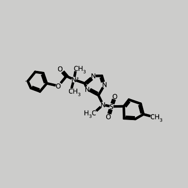 Cc1ccc(S(=O)(=O)N(C)c2ncnc([N+](C)(C)C(=O)OC3=CC[CH]C=C3)n2)cc1